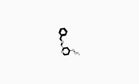 CO[C@@H]1CCO[C@H](COCc2ccccc2)C1